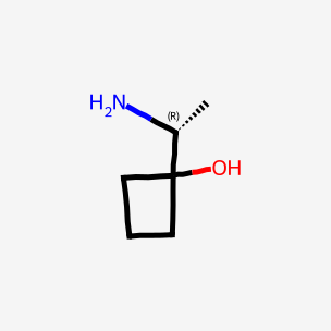 C[C@@H](N)C1(O)CCC1